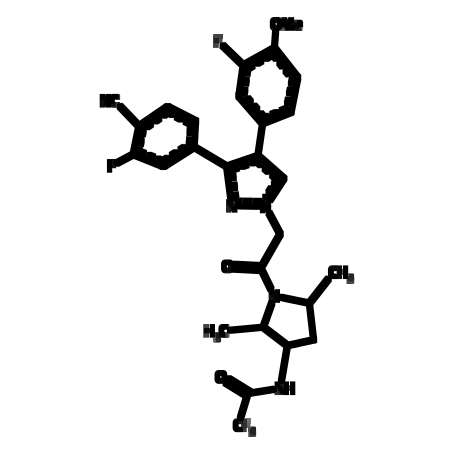 COc1ccc(-c2cn(CC(=O)N3C(C)CC(NC(=O)C(F)(F)F)C3C)nc2-c2ccc(C#N)c(F)c2)cc1F